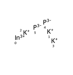 [In+3].[K+].[K+].[K+].[P-3].[P-3]